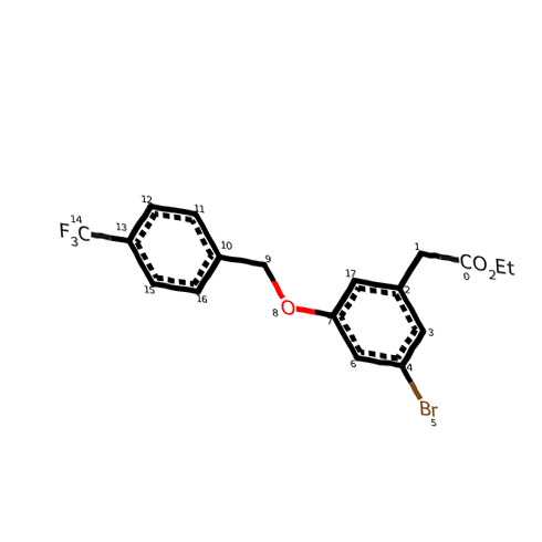 CCOC(=O)Cc1cc(Br)cc(OCc2ccc(C(F)(F)F)cc2)c1